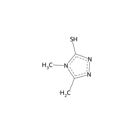 [CH2]c1nnc(S)n1C